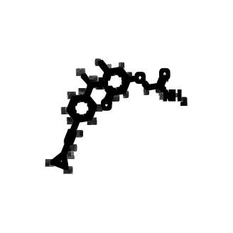 Cc1cc(OCC(N)=O)cc(=O)n1[C@H](C)c1ccc(C#CC2CC2)cc1